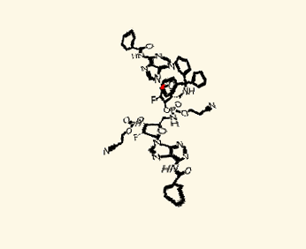 N#CCCO[PH](=O)O[C@H]1[C@@H](F)[C@H](n2cnc3c(NC(=O)c4ccccc4)ncnc32)O[C@@H]1CNP(=O)(OCCC#N)O[C@H]1[C@@H](F)[C@H](n2cnc3c(NC(=O)c4ccccc4)ncnc32)O[C@@H]1CNC(c1ccccc1)(c1ccccc1)c1ccccc1